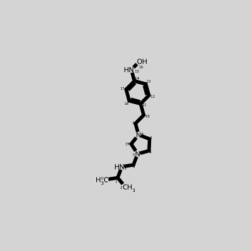 CC(C)NCN1CCN(CCc2ccc(NO)cc2)C1